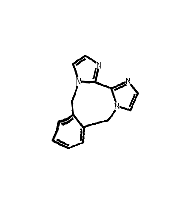 c1ccc2c(c1)Cn1ccnc1-c1nccn1C2